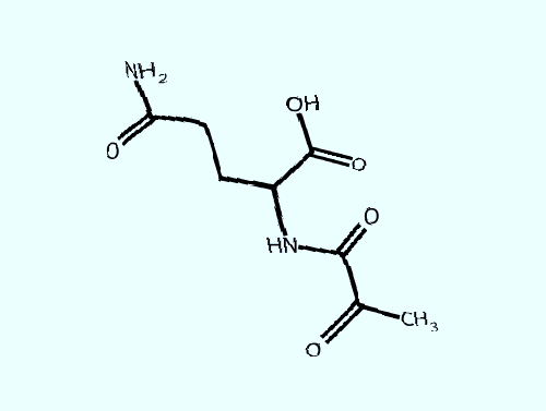 CC(=O)C(=O)NC(CCC(N)=O)C(=O)O